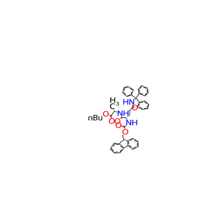 CCCCOC(=O)[C@H](C)NC(=O)[C@H](CCC(=O)NC(c1ccccc1)(c1ccccc1)c1ccccc1)NC(=O)OCC1c2ccccc2-c2ccccc21